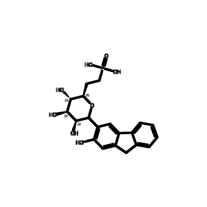 O=P(O)(O)CC[C@H]1OC(c2cc3c(cc2O)Cc2ccccc2-3)[C@@H](O)[C@@H](O)[C@@H]1O